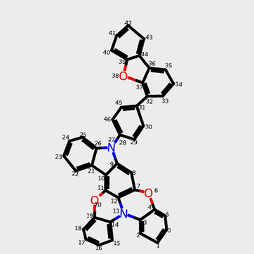 c1ccc2c(c1)Oc1cc3c(c4c1N2c1ccccc1O4)c1ccccc1n3-c1ccc(-c2cccc3c2oc2ccccc23)cc1